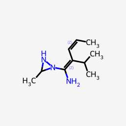 C/C=C\C(=C(\N)N1NC1C)C(C)C